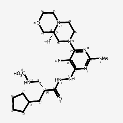 CSc1nc(NNC(=O)[C@@H](CNC(=O)O)CC2CCCC2)c(F)c(N2CCN3CCOC[C@@H]3C2)n1